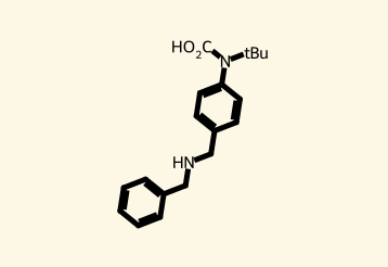 CC(C)(C)N(C(=O)O)c1ccc(CNCc2ccccc2)cc1